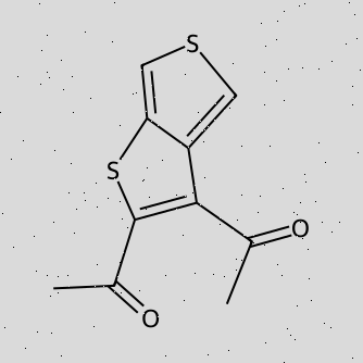 CC(=O)c1sc2cscc2c1C(C)=O